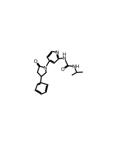 CC(C)NC(=O)Nc1cc(N2CC(c3ccccc3)CC2=O)ccn1